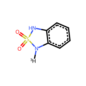 [3H]N1c2ccccc2NS1(=O)=O